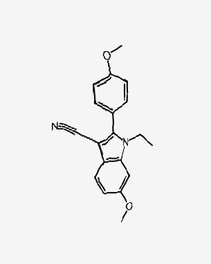 CCn1c(-c2ccc(OC)cc2)c(C#N)c2ccc(OC)cc21